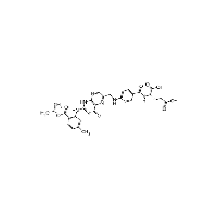 Cc1ccc(C(=O)OC(C)C)c(Nc2nc(=O)c3nc(CNc4ccc(C(=O)N[C@@H](CCC(=O)O)C(=O)O)cc4)cnc3[nH]2)c1